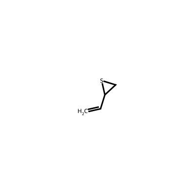 C=CC1CS1